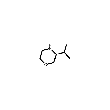 CC(C)[C@H]1COCCN1